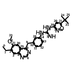 CCc1cc2ncnc(Cc3cccc(NC(=N)Nc4cc(C(C)(C)C)on4)c3)c2cc1OC